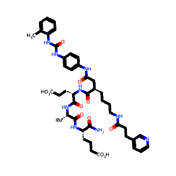 CCC(C)[C@H](NC(=O)[C@H](CCC(=O)O)NC(=O)[C@H](CCCCNC(=O)CCc1cccnc1)CC(=O)Nc1ccc(NC(=O)Nc2ccccc2C)cc1)C(=O)N[C@@H](CCCC(=O)O)C(N)=O